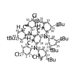 Cc1cc(Cl)cc(C)c1N(c1ccc(C(C)(C)C)cc1)c1cc(N(c2cc(C(C)(C)C)cc(C(C)(C)C)c2)c2cc(C(C)(C)C)cc(C(C)(C)C)c2)cc(N(c2ccc(C(C)(C)C)cc2)c2c(C)cc(Cl)cc2C)c1